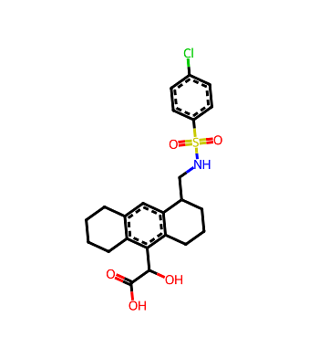 O=C(O)C(O)c1c2c(cc3c1CCCC3CNS(=O)(=O)c1ccc(Cl)cc1)CCCC2